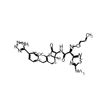 C=CCON=C(C(=O)NC1C(=O)N2C(C(=O)[O-])=C(C[n+]3ccc(-c4nnn[nH]4)cc3)CS[C@@H]12)c1nsc(N)n1